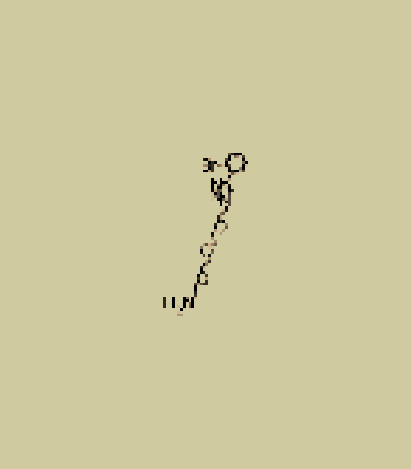 NCCOCCOCCOCCn1cc(-c2ccccc2Br)nn1